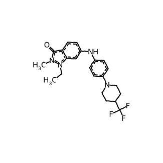 CCn1c2cc(Nc3ccc(N4CCC(C(F)(F)F)CC4)cc3)ccc2c(=O)n1C